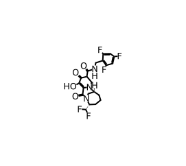 O=C(NCc1c(F)cc(F)cc1F)C1CN2C(=C(O)C1=O)C(=O)N1C[C@@H]2CCC[C@@H]1C(F)F